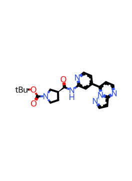 CC(C)(C)OC(=O)N1CC[C@H](C(=O)Nc2cc(-c3ccnc4ccnn34)ccn2)C1